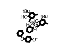 Cc1cc(C=[N+]2[Co][N+](=Cc3cc(C)cc(C(C)(C)C)c3O)[C@@H]3CCCC[C@H]32)c(O)c(C(C)(C)C)c1.[O-]c1ccc(Oc2ccccc2)cc1